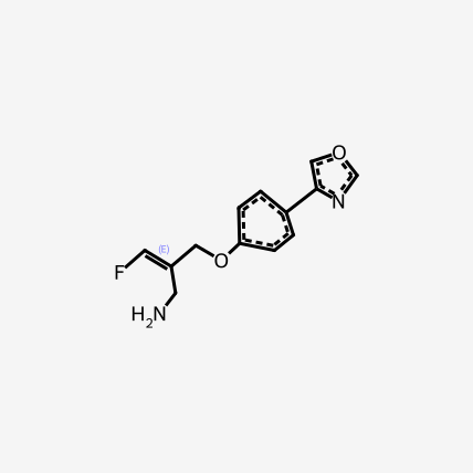 NC/C(=C\F)COc1ccc(-c2cocn2)cc1